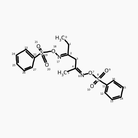 CCC(CC(C)=NOS(=O)(=O)c1ccccc1)=NOS(=O)(=O)c1ccccc1